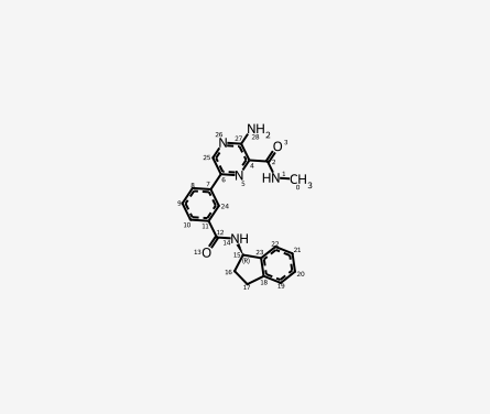 CNC(=O)c1nc(-c2cccc(C(=O)N[C@@H]3CCc4ccccc43)c2)cnc1N